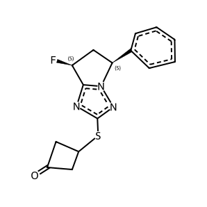 O=C1CC(Sc2nc3n(n2)[C@H](c2ccccc2)C[C@@H]3F)C1